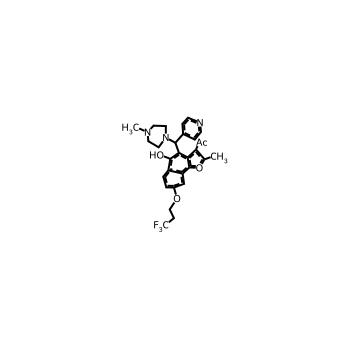 CC(=O)c1c(C)oc2c1c(C(c1ccncc1)N1CCN(C)CC1)c(O)c1ccc(OCCC(F)(F)F)cc12